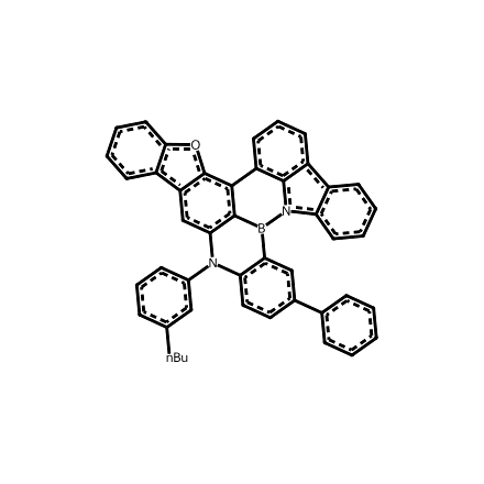 CCCCc1cccc(N2c3ccc(-c4ccccc4)cc3B3c4c2cc2c(oc5ccccc52)c4-c2cccc4c5ccccc5n3c24)c1